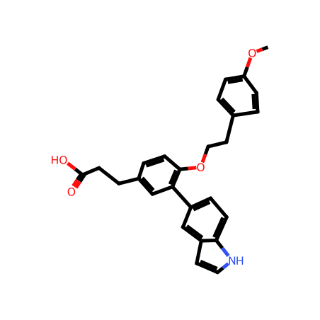 COc1ccc(CCOc2ccc(CCC(=O)O)cc2-c2ccc3[nH]ccc3c2)cc1